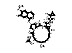 COc1cc2ccnc(O[C@@H]3C[C@H]4C(=O)N[C@]5(C(=O)NS(=O)(=O)C6(F)CC6)C[C@H]5C=CCC[C@@H](C)C[C@@H](C)[C@H](NC(=O)O)C(=O)N4C3)c2cc1Cl